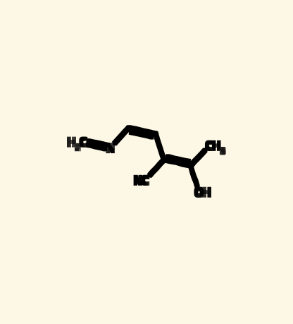 C=N/C=C\C(C#N)=C(/C)O